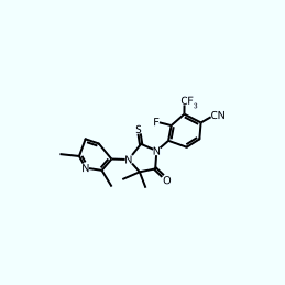 Cc1ccc(N2C(=S)N(c3ccc(C#N)c(C(F)(F)F)c3F)C(=O)C2(C)C)c(C)n1